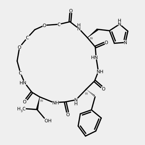 CC(O)[C@@H]1NC(=O)N[C@@H](Cc2ccccc2)C(=O)NNC(=O)[C@H](Cc2cnc[nH]2)NC(=O)COCCOCCNC1=O